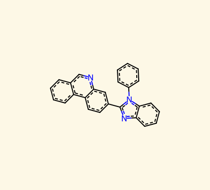 c1ccc(-n2c(-c3ccc4c(c3)ncc3ccccc34)nc3ccccc32)cc1